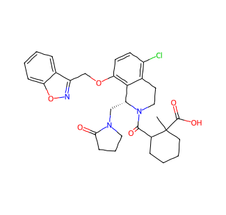 CC1(C(=O)O)CCCCC1C(=O)N1CCc2c(Cl)ccc(OCc3noc4ccccc34)c2[C@H]1CN1CCCC1=O